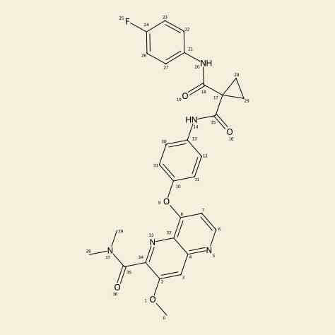 COc1cc2nccc(Oc3ccc(NC(=O)C4(C(=O)Nc5ccc(F)cc5)CC4)cc3)c2nc1C(=O)N(C)C